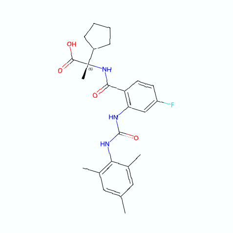 Cc1cc(C)c(NC(=O)Nc2cc(F)ccc2C(=O)N[C@](C)(C(=O)O)C2CCCC2)c(C)c1